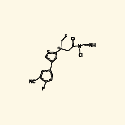 N#Cc1cc(-c2csc([C@H](CF)CC(=O)N(Cl)C=N)c2)ccc1F